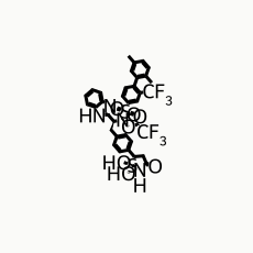 Cc1ccc(C)c(-c2ccc(S(=O)(=O)N(OC(=O)C(F)(F)F)[C@@H](Cc3ccc(C4CC(=O)NS4(O)O)cc3)c3nc4ccccc4[nH]3)cc2C(F)(F)F)c1